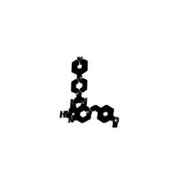 COc1ccc(CN2CCc3n[nH]c4nc(N5CCN(c6ccncc6)CC5)nc2c34)cc1